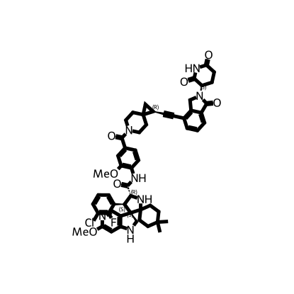 COc1cc2c(cn1)[C@]1(CN2)[C@@H](c2cccc(Cl)c2F)[C@H](C(=O)Nc2ccc(C(=O)N3CCC4(CC3)C[C@H]4C#Cc3cccc4c3CN([C@H]3CCC(=O)NC3=O)C4=O)cc2OC)NC12CCC(C)(C)CC2